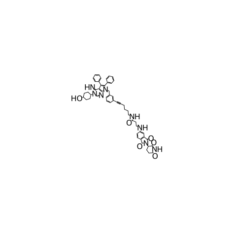 N=c1c2c(-c3ccccc3)c(-c3ccccc3)n(Cc3cccc(C#CCCCCNC(=O)CCNc4ccc5c(c4)C(=O)N(C4CCC(=O)NC4=O)C5=O)c3)c2ncn1C1CCC(O)CC1